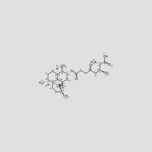 C[C@H]1[C@H](OC(=O)CCC(=O)O[C@H](C)[C@H](N)C(=O)O)O[C@@H]2O[C@@]3(C)CC[C@H]4[C@H](C)CC[C@@H]1[C@@]24OO3